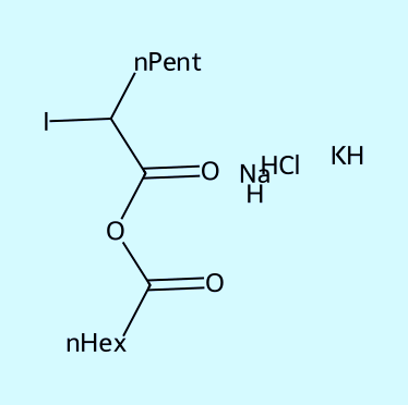 CCCCCCC(=O)OC(=O)C(I)CCCCC.Cl.[KH].[NaH]